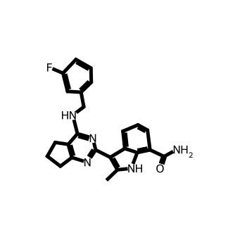 Cc1[nH]c2c(C(N)=O)cccc2c1-c1nc2c(c(NCc3cccc(F)c3)n1)CCC2